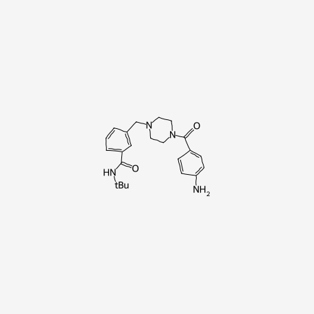 CC(C)(C)NC(=O)c1cccc(CN2CCN(C(=O)c3ccc(N)cc3)CC2)c1